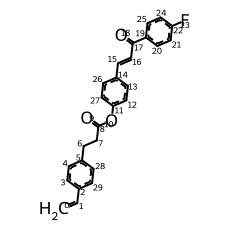 C=Cc1ccc(CCC(=O)Oc2ccc(C=CC(=O)c3ccc(F)cc3)cc2)cc1